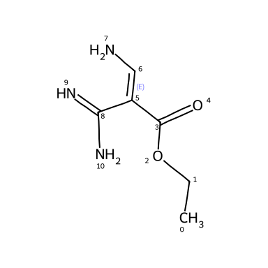 CCOC(=O)/C(=C/N)C(=N)N